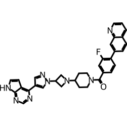 O=C(c1ccc(-c2ccc3cccnc3c2)c(F)c1)N1CCC(N2CC(n3cc(-c4ncnc5[nH]ccc45)cn3)C2)CC1